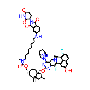 C#Cc1c(F)ccc2cc(O)cc(-c3ncc4c(N5CC6CCC(C5)N6)nc(OC[C@@]56CC[C@@H](COC(=O)N(C)CCCCCCCCNc7ccc8c(c7)C(=O)N(C7CCC(=O)NC7=O)C8=O)CC[C@H]5CC(C)C6)nc4c3F)c12